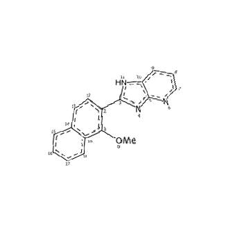 COc1c(-c2nc3ncccc3[nH]2)ccc2ccccc12